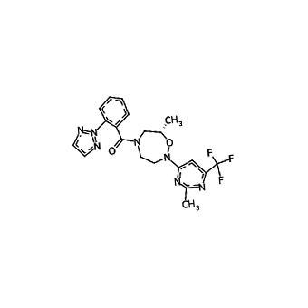 Cc1nc(N2CCN(C(=O)c3ccccc3-n3nccn3)C[C@H](C)O2)cc(C(F)(F)F)n1